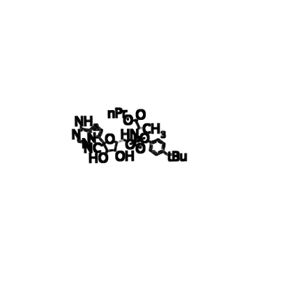 CCCOC(=O)[C@H](C)NP(=O)(OC[C@H]1O[C@@](C#N)(c2ccc3c(N)ncnn23)[C@H](O)[C@@H]1O)Oc1ccc(C(C)(C)C)cc1